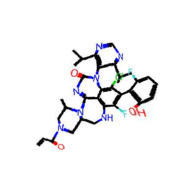 C=CC(=O)N1CC(C)N2c3nc(=O)n(-c4c(C(C)C)ncnc4C(C)C)c4c(Cl)c(-c5c(O)cccc5F)c(F)c(c34)NCC2C1